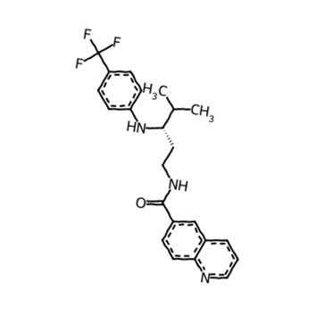 CC(C)[C@H](CCNC(=O)c1ccc2ncccc2c1)Nc1ccc(C(F)(F)F)cc1